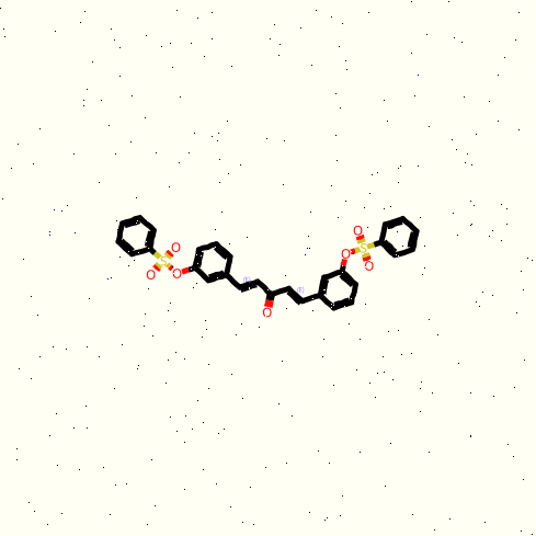 O=C(/C=C/c1cccc(OS(=O)(=O)c2ccccc2)c1)/C=C/c1cccc(OS(=O)(=O)c2ccccc2)c1